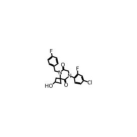 O=C1CN(c2ccc(Cl)cc2F)C(=O)C2(CC(O)C2)N1Cc1ccc(F)cc1